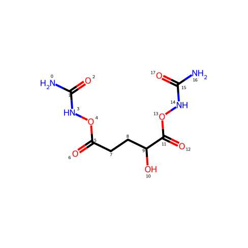 NC(=O)NOC(=O)CCC(O)C(=O)ONC(N)=O